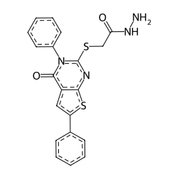 NNC(=O)CSc1nc2sc(-c3ccccc3)cc2c(=O)n1-c1ccccc1